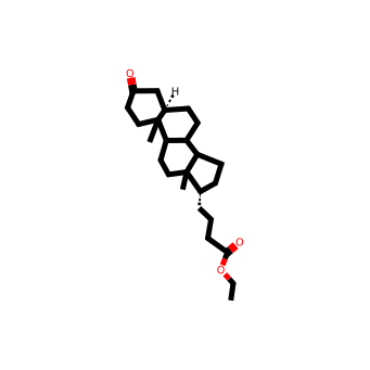 CCOC(=O)CCC[C@H]1CCC2C3CC[C@@H]4CC(=O)CCC4(C)C3CCC21C